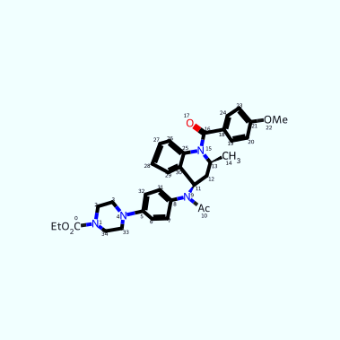 CCOC(=O)N1CCN(c2ccc(N(C(C)=O)[C@@H]3C[C@H](C)N(C(=O)c4ccc(OC)cc4)c4ccccc43)cc2)CC1